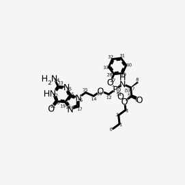 CCCCOC(=O)[C@H](C)NP(=O)(COCCn1cnc2c(=O)[nH]c(N)nc21)Oc1ccccc1